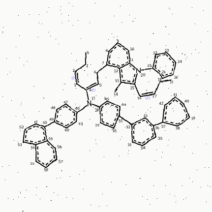 CC/C=C\C(=C/Cc1cccc2c1c(C)c(/C=C\CC)n2-c1ccccc1)N(c1ccc(-c2cccc(-c3ccccc3)c2)cc1)c1ccc(-c2cccc3ccccc23)cc1